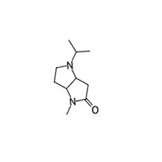 CC(C)N1CCC2C1CC(=O)N2C